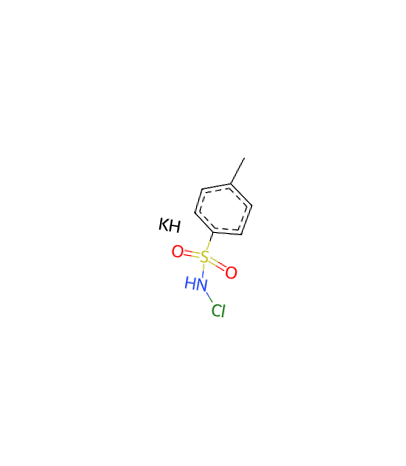 Cc1ccc(S(=O)(=O)NCl)cc1.[KH]